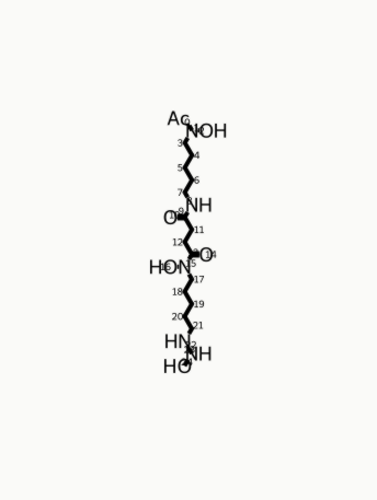 CC(=O)N(O)CCCCCNC(=O)CCC(=O)N(O)CCCCCNNO